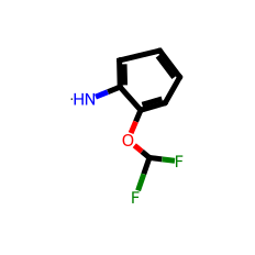 [NH]c1ccccc1OC(F)F